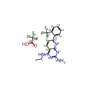 CCNc1nc(N)nc2nc(-c3ccccc3C(F)(F)F)ccc12.O=C(O)C(F)(F)F